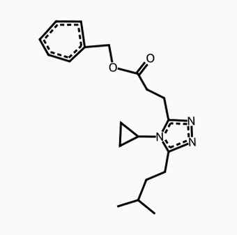 CC(C)CCc1nnc(CCC(=O)OCc2ccccc2)n1C1CC1